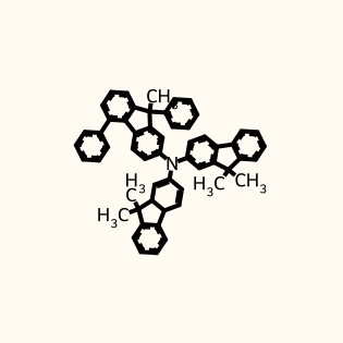 CC1(C)c2ccccc2-c2ccc(N(C3=CC4C(C=C3)c3ccccc3C4(C)C)c3ccc4c(c3)C(C)(c3ccccc3)c3cccc(-c5ccccc5)c3-4)cc21